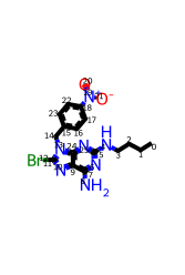 CCCCNc1nc(N)c2nc(Br)n(Cc3ccc([N+](=O)[O-])cc3)c2n1